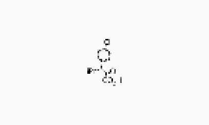 CC(C)C(C(=O)C(=O)O)c1ccc(Cl)cc1